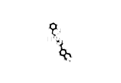 NC[C@@H](Cc1ccccc1)Nc1ncc(-c2ccc3cnccc3c2)s1